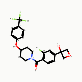 O=C(c1ccc(C2(O)COC2)cc1F)N1CCC(Oc2ccc(C(F)(F)F)cc2)CC1